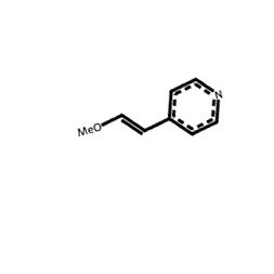 CO/C=C/c1ccncc1